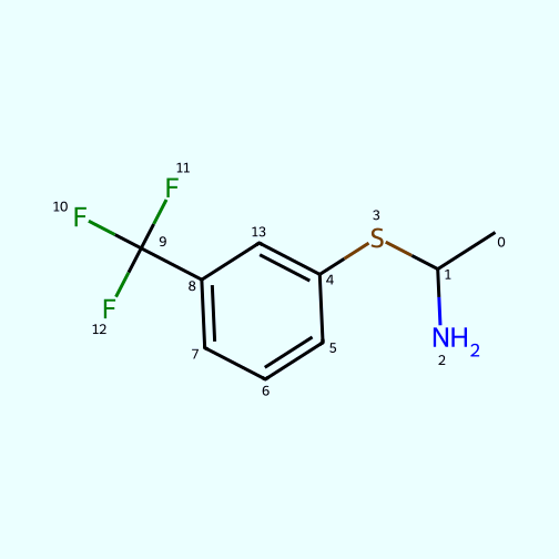 CC(N)Sc1cccc(C(F)(F)F)c1